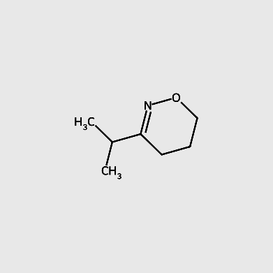 CC(C)C1=NOCCC1